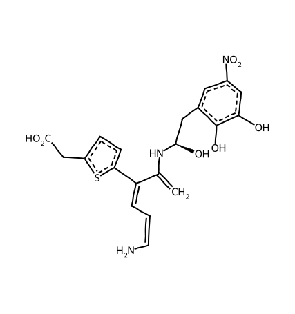 C=C(N[C@H](O)Cc1cc([N+](=O)[O-])cc(O)c1O)/C(=C\C=C/N)c1ccc(CC(=O)O)s1